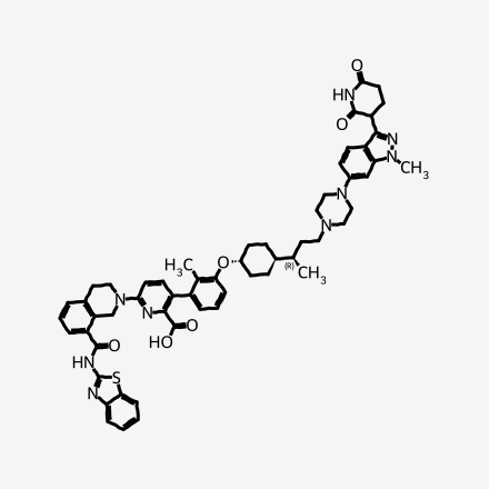 Cc1c(O[C@H]2CC[C@H]([C@H](C)CCN3CCN(c4ccc5c(C6CCC(=O)NC6=O)nn(C)c5c4)CC3)CC2)cccc1-c1ccc(N2CCc3cccc(C(=O)Nc4nc5ccccc5s4)c3C2)nc1C(=O)O